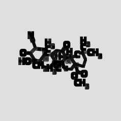 COC(=O)[C@]12CCC(C)(C)C[C@H]1[C@H]1C(=O)C=C3[C@@]4(C)C=C(C#N)C(=O)[C@](C)(O)C4CC[C@@]3(C)[C@]1(C)CC2